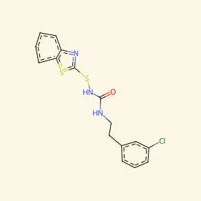 O=C(NCCc1cccc(Cl)c1)NSc1nc2ccccc2s1